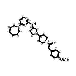 COc1ccc(CC(=O)N2CCC(N3CCC(Nc4nccc(N5CCCCCC5)n4)C3)CC2)cc1